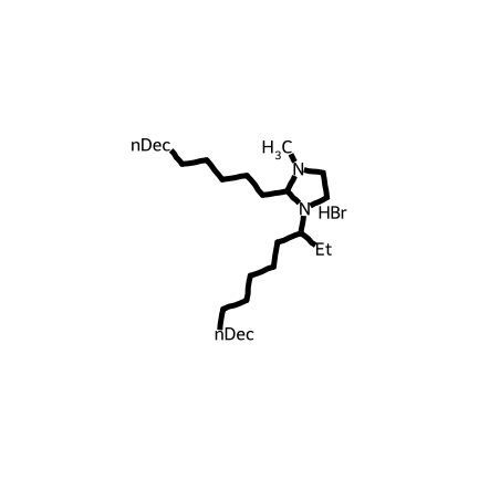 Br.CCCCCCCCCCCCCCCC(CC)N1CCN(C)C1CCCCCCCCCCCCCCC